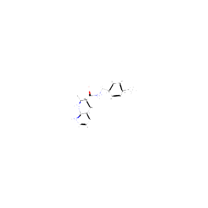 Cc1nc2ncccc2cc1C(=O)NCc1ccc(C(F)(F)F)cc1